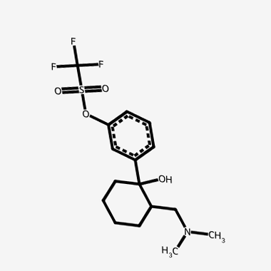 CN(C)CC1CCCCC1(O)c1cccc(OS(=O)(=O)C(F)(F)F)c1